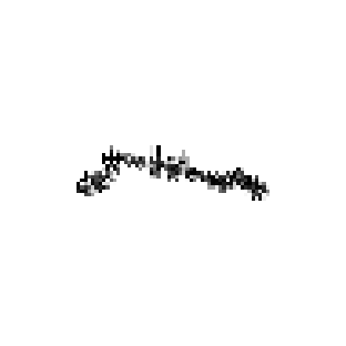 Cc1nc2cc(C(=O)Nc3nnc(-c4ccco4)s3)ccc2n1CCOCCOCCNC(=O)CC[C@H](N)C(=O)NCCOCCOCCn1c(C)nc2cc(C(=O)Nc3nnc(-c4ccco4)s3)ccc21